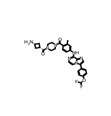 Cc1cc(Nc2nccn3c(-c4ccc(OC(F)F)cc4)cnc23)ccc1C(=O)N1CCN(C(=O)[C@H]2C[C@@H](N)C2)CC1